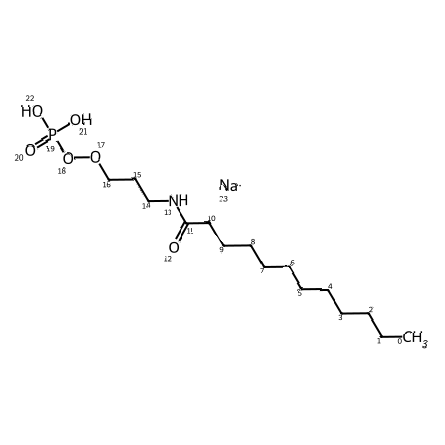 CCCCCCCCCCCC(=O)NCCCOOP(=O)(O)O.[Na]